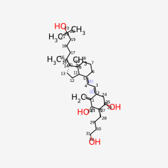 C=C1/C(=C\C=C2/CCC[C@@]3(C)C2CC[C@@H]3[C@H](C)CCCC(C)(C)O)C[C@@H](O)[C@@H](CCCCO)[C@@H]1O